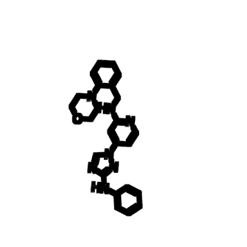 c1ccc(Nc2ncn(-c3ccnc(NCc4ccccc4N4CCOCC4)c3)n2)cc1